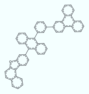 c1cc(-c2ccc3c4ccccc4c4ccccc4c3c2)cc(-c2c3ccccc3c(-c3ccc4c(c3)oc3ccc5ccccc5c34)c3ccccc23)c1